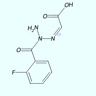 NN(/N=C\C(=O)O)C(=O)c1ccccc1F